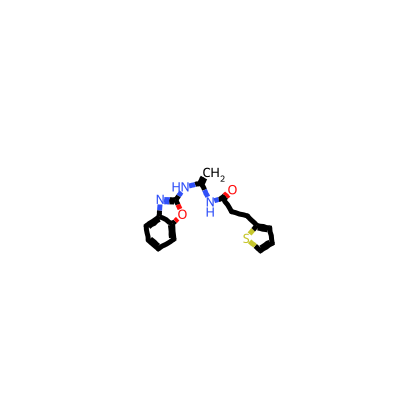 C=C(NC(=O)CCc1cccs1)Nc1nc2ccccc2o1